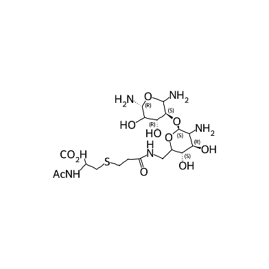 CC(=O)NC(CSCCC(=O)NCC1O[C@@H](O[C@@H]2C(N)O[C@@H](N)C(O)[C@H]2O)C(N)[C@@H](O)[C@@H]1O)C(=O)O